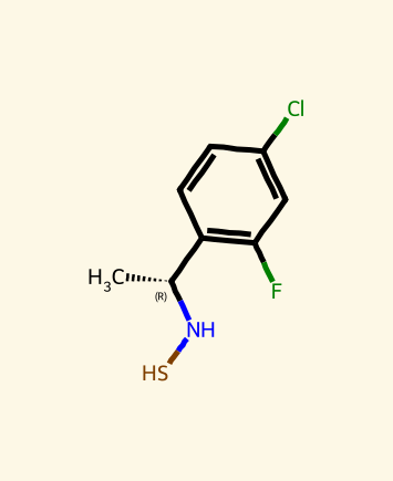 C[C@@H](NS)c1ccc(Cl)cc1F